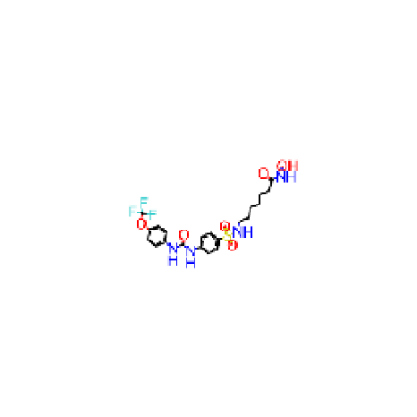 O=C(CCCCCCNS(=O)(=O)c1ccc(NC(=O)Nc2ccc(OC(F)(F)F)cc2)cc1)NO